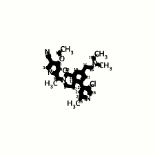 CCOc1cc([C@H](C)N2CCc3c(cc(CCN(C)CC)cc3-c3cc(C)ncc3Cl)C2=O)ncc1C#N